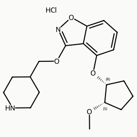 CO[C@H]1CCC[C@H]1Oc1cccc2onc(OCC3CCNCC3)c12.Cl